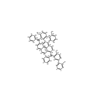 Cc1ccccc1-c1ccc(C)c(N(c2ccccc2)c2ccc3ccc4c(N(c5ccccc5)c5cc(-c6ccccc6C)ccc5C)ccc5ccc2c3c54)c1